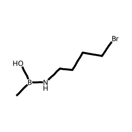 CB(O)NCCCCBr